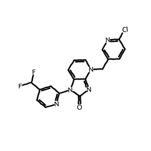 O=c1nc2n(Cc3ccc(Cl)nc3)cccc-2n1-c1cc(C(F)F)ccn1